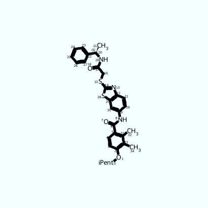 CCCC(C)Oc1ccc(C(=O)Nc2ccc3nc(SCC(=O)N[C@@H](C)c4ccccc4)sc3c2)c(C)c1C